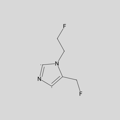 FCCn1[c]n[c]c1CF